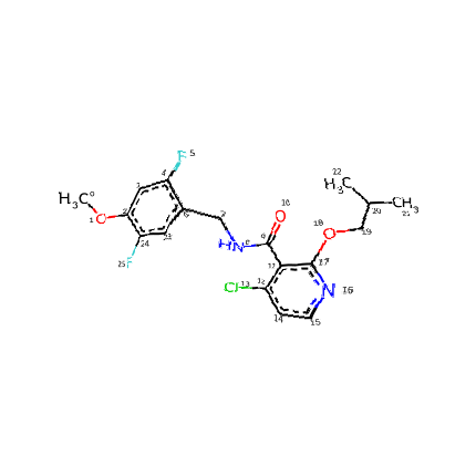 COc1cc(F)c(CNC(=O)c2c(Cl)ccnc2OCC(C)C)cc1F